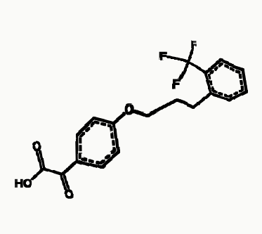 O=C(O)C(=O)c1ccc(OCCCc2ccccc2C(F)(F)F)cc1